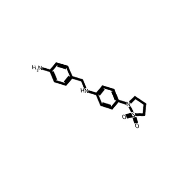 Nc1ccc(CNc2ccc(N3CCCS3(=O)=O)cc2)cc1